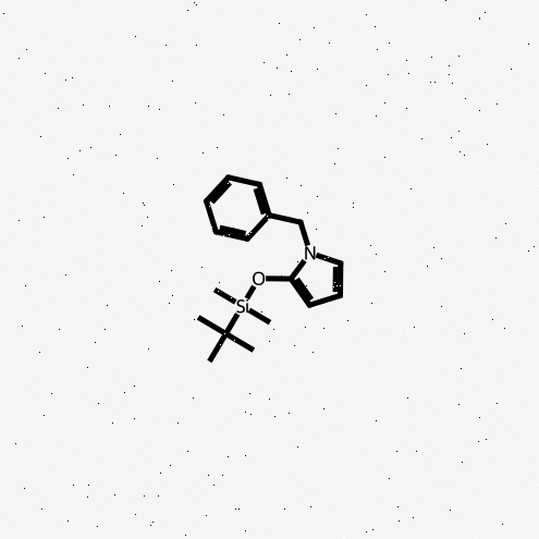 CC(C)(C)[Si](C)(C)Oc1cccn1Cc1ccccc1